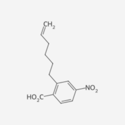 C=CCCCCc1cc([N+](=O)[O-])ccc1C(=O)O